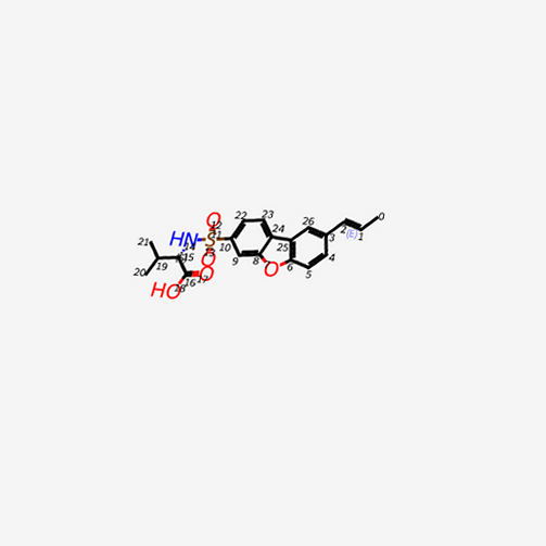 C/C=C/c1ccc2oc3cc(S(=O)(=O)N[C@H](C(=O)O)C(C)C)ccc3c2c1